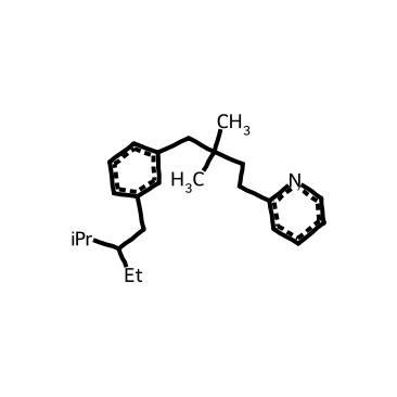 CCC(Cc1cccc(CC(C)(C)CCc2ccccn2)c1)C(C)C